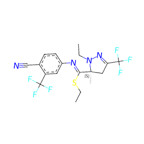 CCSC(=Nc1ccc(C#N)c(C(F)(F)F)c1)[C@]1(C)CC(C(F)(F)F)=NN1CC